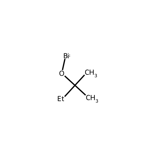 CCC(C)(C)[O][Bi]